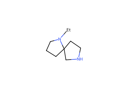 CCN1CCCC12CCNC2